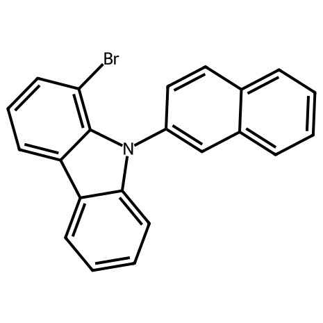 Brc1cccc2c3ccccc3n(-c3ccc4ccccc4c3)c12